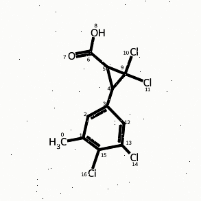 Cc1cc(C2C(C(=O)O)C2(Cl)Cl)cc(Cl)c1Cl